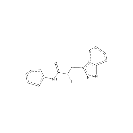 O=C(Nc1ccccc1)[C@@H](I)Cn1nnc2ccccc21